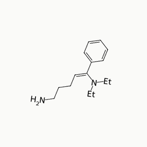 CCN(CC)C(=CCCCN)c1ccccc1